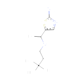 CC(NCCC(C)(C)C)c1cnc(N)s1